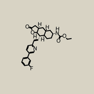 CCOC(=O)N[C@@H]1CC[C@@H]2[C@@H](C1)C[C@@H]1CC(=O)O[C@@H]1[C@H]2/C=C/c1ccc(-c2cccc(F)c2)cn1